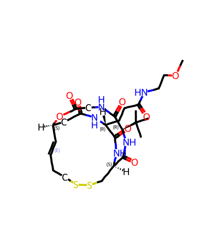 COCCNC(=O)CC[C@H]1NC(=O)C[C@H]2/C=C/CCSSC[C@@H](NC1=O)C(=O)N[C@H](C(C)(C)C)C(=O)NCC(=O)O2